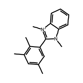 Cc1cc(C)c(C)c(-c2n(C)c3ccccc3[n+]2C)c1